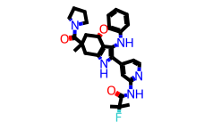 CC(C)(F)C(=O)Nc1cc(-c2[nH]c3c(c2Nc2ccccc2)C(=O)CC(C)(C(=O)N2CCCC2)C3)ccn1